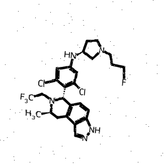 C[C@@H]1Cc2c(ccc3[nH]ncc23)[C@@H](c2c(Cl)cc(N[C@H]3CCN(CCCF)C3)cc2Cl)N1CC(F)(F)F